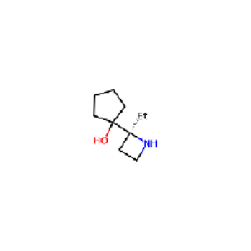 CC[C@@]1(C2(O)CCCC2)CCN1